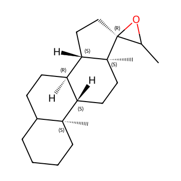 CC1O[C@@]12CC[C@H]1[C@@H]3CCC4CCCC[C@]4(C)[C@H]3CC[C@@]12C